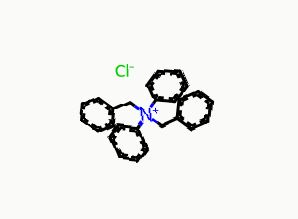 [Cl-].c1ccc(C[N+](Cc2ccccc2)(c2ccccc2)c2ccccc2)cc1